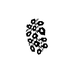 Fc1cccc(F)c1N(c1ccccc1)c1cc(N(c2ccccc2)c2cccc(N(c3ccccc3)c3cc(N(c4ccccc4)c4c(F)cccc4F)cc(N(c4ccccc4)c4c(F)cccc4F)c3)c2)cc(N(c2ccccc2)c2c(F)cccc2F)c1